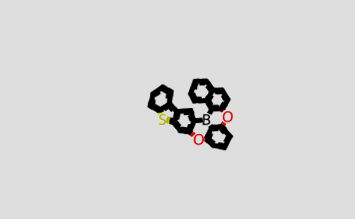 c1cc2c3c(c1)Oc1ccc4ccccc4c1B3c1cc3c(cc1O2)sc1ccccc13